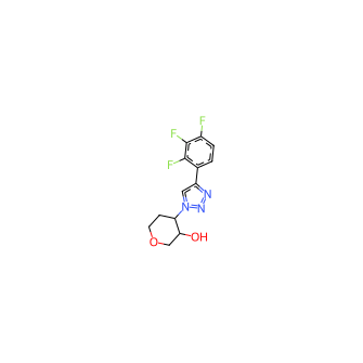 OC1COCCC1n1cc(-c2ccc(F)c(F)c2F)nn1